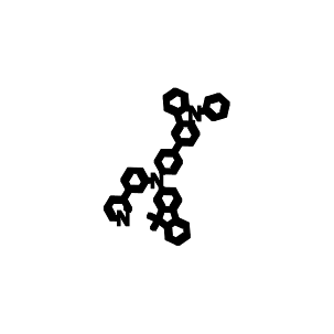 CC1(C)c2ccccc2-c2ccc(N(c3cccc(-c4cccnc4)c3)C3C=CC(c4ccc5c(c4)c4ccccc4n5-c4ccccc4)=CC3)cc21